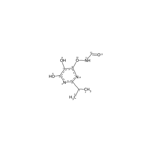 CC(C)c1nc(O)c(O)c(ONC=O)n1